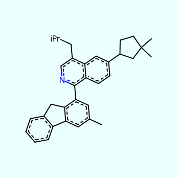 Cc1cc2c(c(-c3ncc(CC(C)C)c4cc(C5CCC(C)(C)C5)ccc34)c1)Cc1ccccc1-2